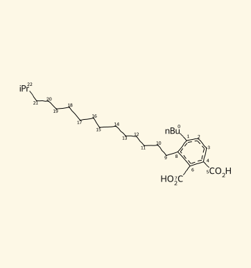 CCCCc1ccc(C(=O)O)c(C(=O)O)c1CCCCCCCCCCCCCC(C)C